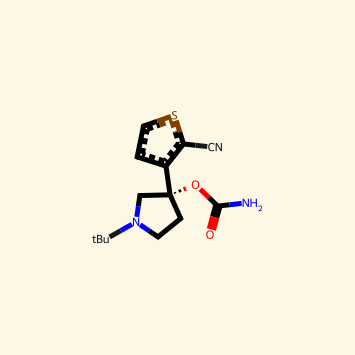 CC(C)(C)N1CC[C@](OC(N)=O)(c2ccsc2C#N)C1